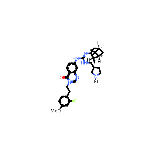 CCN1CCC(CN/C(=N\C2C[C@@H]3C[C@H]([C@@H]2C)C3(C)C)Nc2ccc3c(=O)n(CCc4ccc(OC)cc4F)cnc3c2)C1